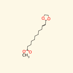 COC(=O)CCCCCCCCC=CC1OCCO1